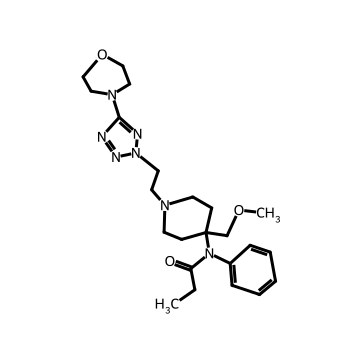 CCC(=O)N(c1ccccc1)C1(COC)CCN(CCn2nnc(N3CCOCC3)n2)CC1